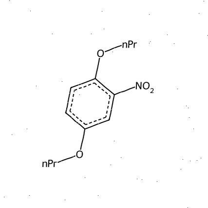 CCCOc1ccc(OCCC)c([N+](=O)[O-])c1